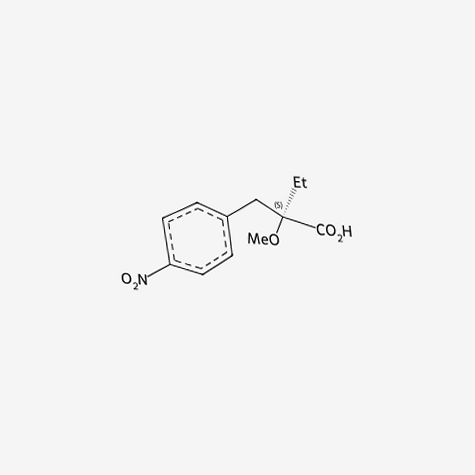 CC[C@@](Cc1ccc([N+](=O)[O-])cc1)(OC)C(=O)O